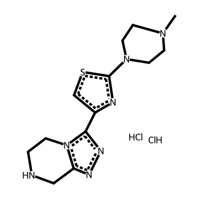 CN1CCN(c2nc(-c3nnc4n3CCNC4)cs2)CC1.Cl.Cl